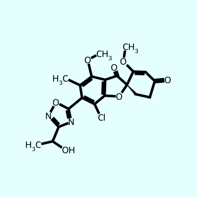 COC1=CC(=O)CC[C@]12Oc1c(Cl)c(-c3nc(C(C)O)no3)c(C)c(OC)c1C2=O